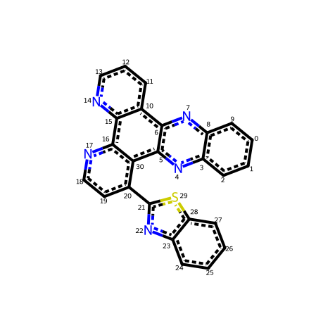 c1ccc2nc3c(nc2c1)c1cccnc1c1nccc(-c2nc4ccccc4s2)c13